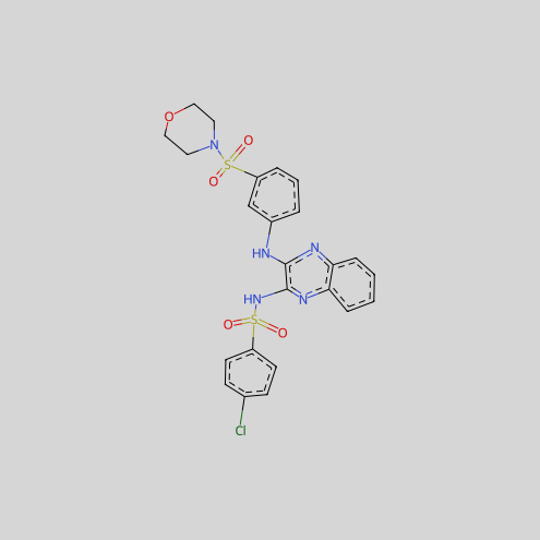 O=S(=O)(Nc1nc2ccccc2nc1Nc1cccc(S(=O)(=O)N2CCOCC2)c1)c1ccc(Cl)cc1